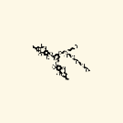 C/C=C1\CC2C=Nc3cc(OCc4cc(OCCN(CCCC=O)C(=O)CCOCCOCCOCCOC)cc(COc5cc6c(cc5OC)C(=O)N5C/C(=C/C)C[C@H]5C=N6)n4)c(OC)cc3C(=O)N2C1